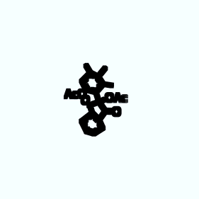 CC(=O)Oc1cc(C)c(C)c(C)c1C1(OC(C)=O)C(=O)c2ccccc2C1=O